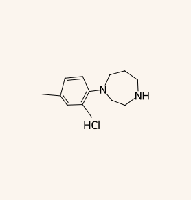 Cc1ccc(N2CCCNCC2)c(C)c1.Cl